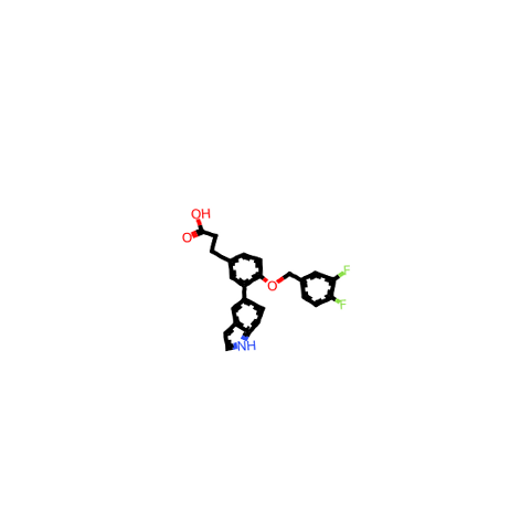 O=C(O)CCc1ccc(OCc2ccc(F)c(F)c2)c(-c2ccc3[nH]ccc3c2)c1